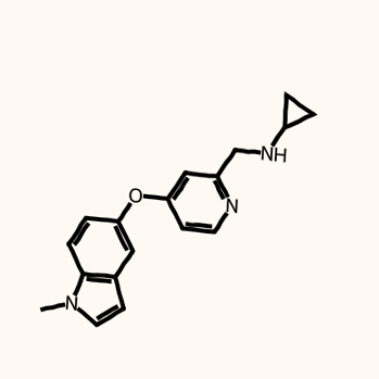 Cn1ccc2cc(Oc3ccnc(CNC4CC4)c3)ccc21